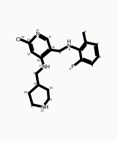 Cc1cccc(F)c1NCc1cnc(Cl)cc1NCC1CCNCC1